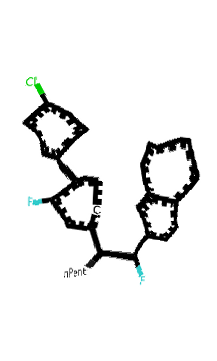 CCCCCC(c1ccc(-c2ccc(Cl)cc2)c(F)c1)C(F)c1ccc2ccccc2c1